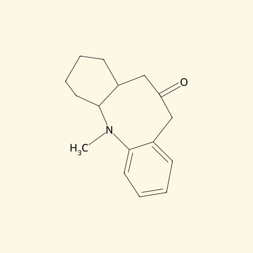 CN1c2ccccc2CC(=O)CC2CCCCC21